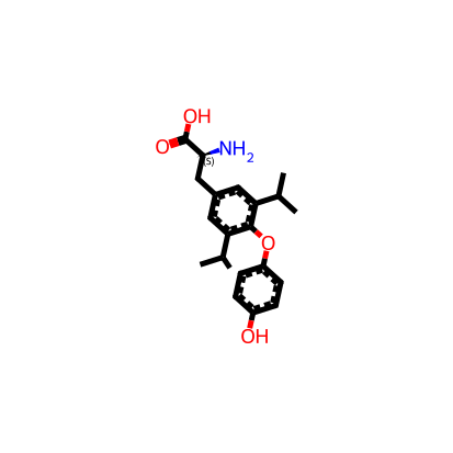 CC(C)c1cc(C[C@H](N)C(=O)O)cc(C(C)C)c1Oc1ccc(O)cc1